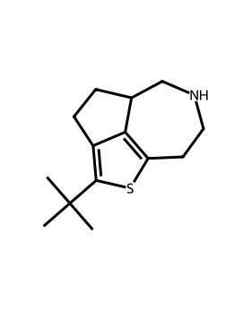 CC(C)(C)c1sc2c3c1CCC3CNCC2